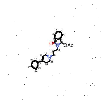 CC(=O)OC1c2ccccc2C(=O)N1CCCN1CC=C(c2ccccc2)CC1